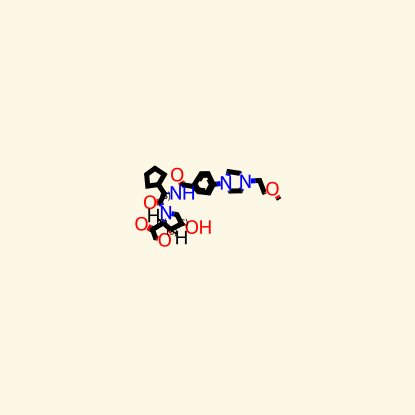 COCCN1CCN(c2ccc(C(=O)N[C@H](C(=O)N3C[C@H](O)[C@H]4OCC(=O)[C@H]43)C3CCCC3)cc2)CC1